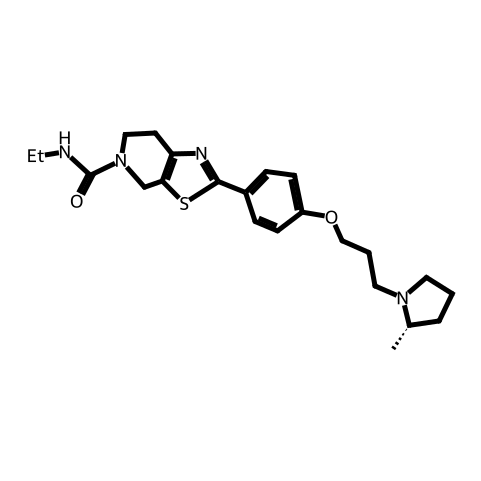 CCNC(=O)N1CCc2nc(-c3ccc(OCCCN4CCC[C@@H]4C)cc3)sc2C1